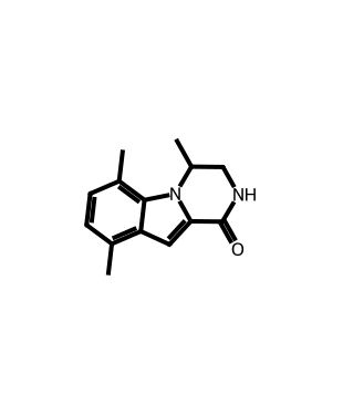 Cc1ccc(C)c2c1cc1n2C(C)CNC1=O